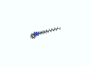 CCCCCCCCCCCCCCCCN=NC1CCCCC1